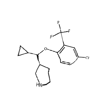 FC(F)(F)c1cc(Cl)ccc1OC(C1CC1)[C@H]1CCNC1